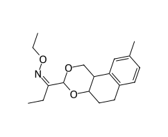 CCO/N=C(/CC)C1OCC2c3cc(C)ccc3CCC2O1